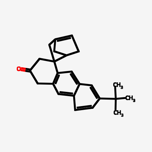 CC(C)(C)c1ccc2cc3c(cc2c1)C1(CC(=O)C3)CC2=CCC1C2